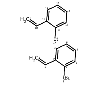 C=Cc1ccccc1C(C)(C)C.C=Cc1ccccc1CC